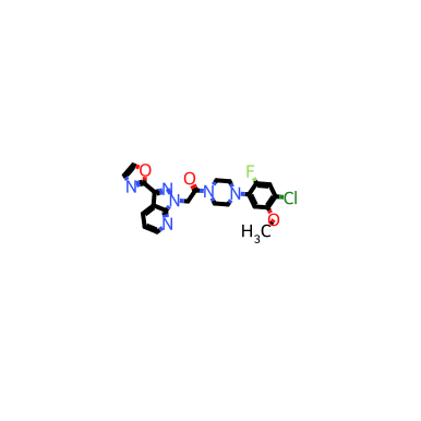 COc1cc(N2CCN(C(=O)Cn3nc(-c4ncco4)c4cccnc43)CC2)c(F)cc1Cl